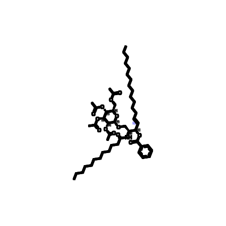 CCCCCCCCCCCCC/C=C/[C@@H](OC(=O)c1ccccc1)[C@H](CO[C@@H]1O[C@H](COC(C)=O)[C@@H](OC(C)=O)[C@H](OC(C)=O)[C@H]1OC(C)=O)NC(=O)CCCCCCCCCCC